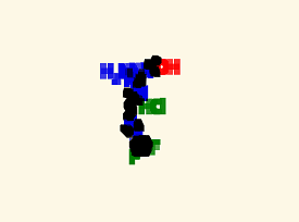 Cc1c(C=CCN2CCN(c3cc(F)cc(F)c3)CC2)cnn1-c1cc(N2CC(C)(O)C2)nc(N)n1.Cl